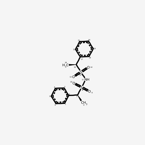 C[C@@H](c1ccccc1)S(=O)(=O)NS(=O)(=O)[C@@H](C)c1ccccc1